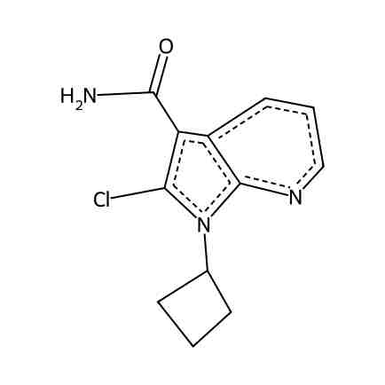 NC(=O)c1c(Cl)n(C2CCC2)c2ncccc12